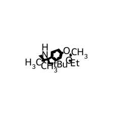 CCOC(C)Oc1ccc(C2(CC(C)(C)C)NCC2(C)C)cc1